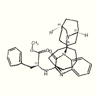 COC(=O)[C@H](Cc1ccccc1)Nc1nc2ccccc2n([C@H]2C[C@H]3CC[C@@H](C2)N3C2CCCCCCC2)c1=O